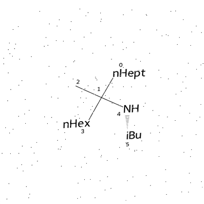 CCCCCCCC(C)(CCCCCC)N[C@@H](C)CC